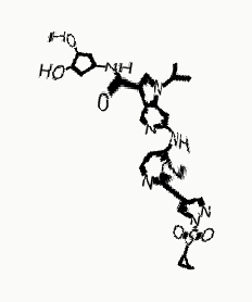 CC(C)n1cc(C(=O)N[C@H]2C[C@@H](O)[C@@H](O)C2)c2cnc(Nc3ccnc(-c4cnn(S(=O)(=O)C5CC5)c4)n3)cc21